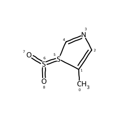 CC1=CN=CS1=S(=O)=O